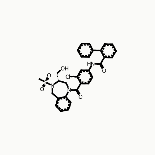 CS(=O)(=O)N1Cc2ccccc2N(C(=O)c2ccc(NC(=O)c3ccccc3-c3ccccc3)cc2Cl)C[C@H]1CO